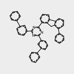 c1ccc(-c2cccc(-c3nc(-c4cccc(-c5ccccc5)c4)nc(-c4cccc5c4Cc4c(-c6ccccc6)cccc4-5)n3)c2)cc1